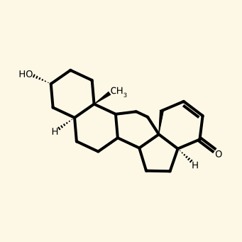 C[C@]12CC[C@@H](O)C[C@@H]1CCC1C3CC[C@@H]4C(=O)C=CC[C@]34CCC12